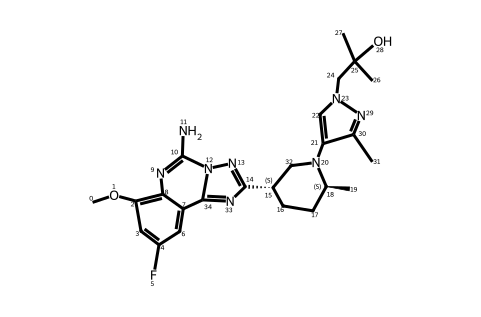 COc1cc(F)cc2c1nc(N)n1nc([C@H]3CC[C@H](C)N(c4cn(CC(C)(C)O)nc4C)C3)nc21